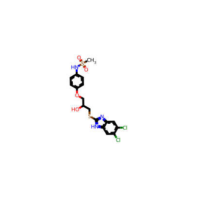 CS(=O)(=O)Nc1ccc(OCC(O)CSc2nc3cc(Cl)c(Cl)cc3[nH]2)cc1